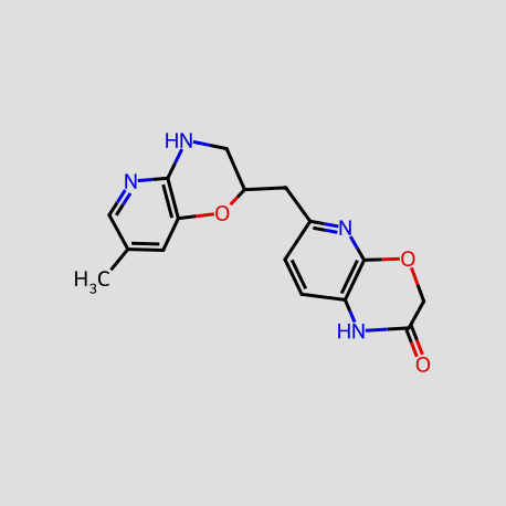 Cc1cnc2c(c1)OC(Cc1ccc3c(n1)OCC(=O)N3)CN2